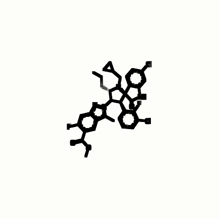 CCC[C@H]1C(n2nc3cc(F)c(C(=O)OC)cc3c2C)[C@H](c2cccc(Cl)c2F)[C@]2(C(=O)Nc3cc(Cl)ccc32)N1CC1CC1